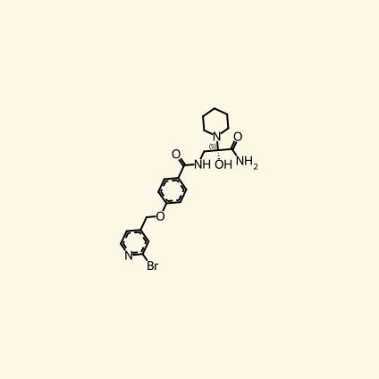 NC(=O)[C@@](O)(CNC(=O)c1ccc(OCc2ccnc(Br)c2)cc1)N1CCCCC1